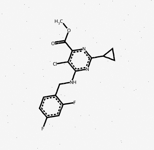 COC(=O)c1nc(C2CC2)nc(NCc2ccc(F)cc2F)c1Cl